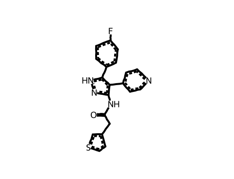 O=C(Cc1ccsc1)Nc1n[nH]c(-c2ccc(F)cc2)c1-c1ccncc1